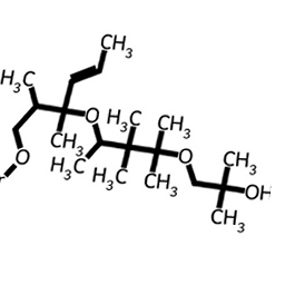 CC=CC(C)(OC(C)C(C)(C)C(C)(C)OCC(C)(C)O)C(C)COC(C)C